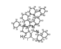 CCC1=C(c2ccc(-c3ccccc3)cc2)C(n2c3ccc4ccccc4c3c3c4c5ccccc5c5ccccc5c4ccc32)=Nc2c(ccc3ccccc23)C1